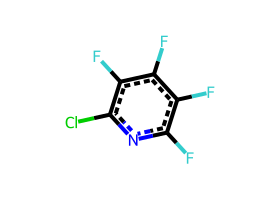 Fc1nc(Cl)c(F)c(F)c1F